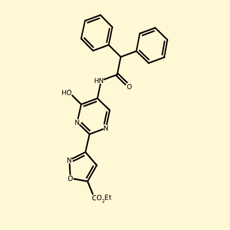 CCOC(=O)c1cc(-c2ncc(NC(=O)C(c3ccccc3)c3ccccc3)c(O)n2)no1